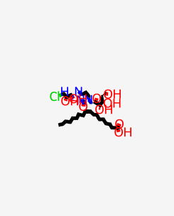 CCCCCCCC/C=C\CCCCCCCC(=O)O.Nc1ccn(C[C@@H]2O[C@H](CO)[C@@H](O)[C@H]2O)c(=O)n1.OCC(O)CCl